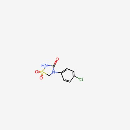 O=C1NS(=O)(=O)CN1c1ccc(Cl)cc1